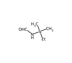 CC[Si](C)(C)NC=O